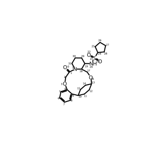 O=C1COc2ccccc2C2CCC(CC2)OCC2C(NS(=O)(=O)C3CCCC3)CCCN12